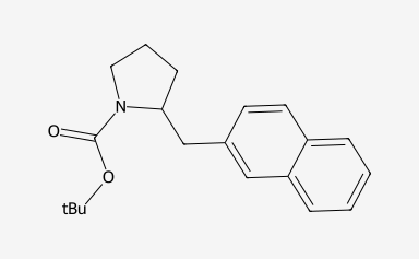 CC(C)(C)OC(=O)N1CCCC1Cc1ccc2ccccc2c1